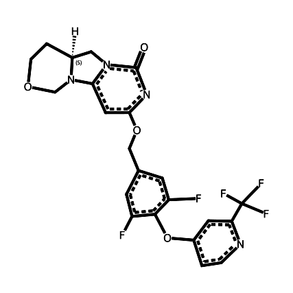 O=c1nc(OCc2cc(F)c(Oc3ccnc(C(F)(F)F)c3)c(F)c2)cc2n1C[C@@H]1CCOCN21